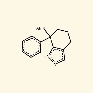 CNC1(c2ccccc2)CCCc2cn[nH]c21